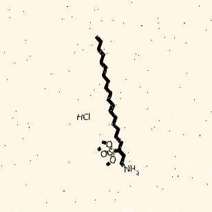 CCCCCCCCCCCC=CCCCCCC(CCN)[Si](OC)(OC)OC.Cl